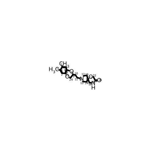 Cc1cc2c(cc1C)OC(CCN1CCC3(CC1)CNC(=O)CO3)CO2